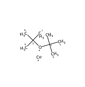 CC(C)(C)OC(C)(C)C.[Cu]